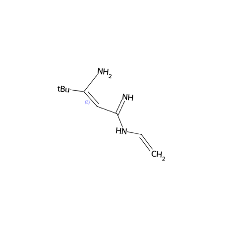 C=CNC(=N)/C=C(\N)C(C)(C)C